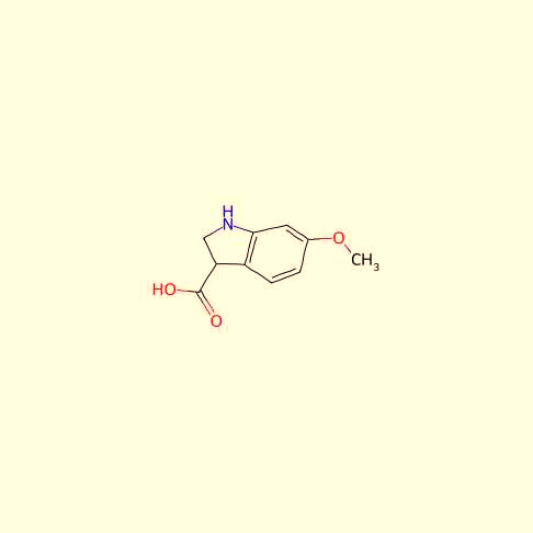 COc1ccc2c(c1)NCC2C(=O)O